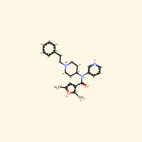 Cc1cc(C(=O)N(c2cccnc2)C2CCN(CCc3ccccc3)CC2)c(C)o1